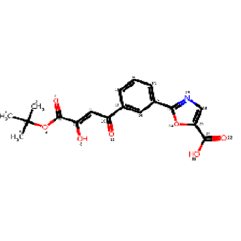 CC(C)(C)OC(=O)C(O)=CC(=O)c1cccc(-c2ncc(C(=O)O)o2)c1